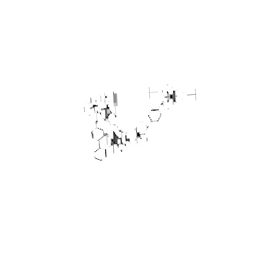 CCCCc1nc(Cl)c(C(=O)O)n1Cc1ccc(-c2ccccc2-c2nnn(C(C)OC(=O)OCc3ccc(CON(O)O)cc3)n2)cc1